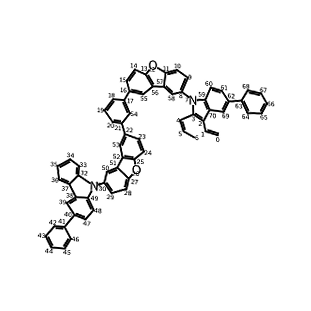 C=Cc1c(/C=C\C)n(-c2ccc3oc4ccc(-c5cccc(-c6ccc7oc8ccc(-n9c%10ccccc%10c%10cc(-c%11ccccc%11)ccc%109)cc8c7c6)c5)cc4c3c2)c2ccc(-c3ccccc3)cc12